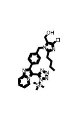 CCCCc1nc(Cl)c(CO)n1Cc1ccc(-c2nc3ccccn3c2-c2nnn[n]2[Sn]([CH3])([CH3])[CH3])cc1